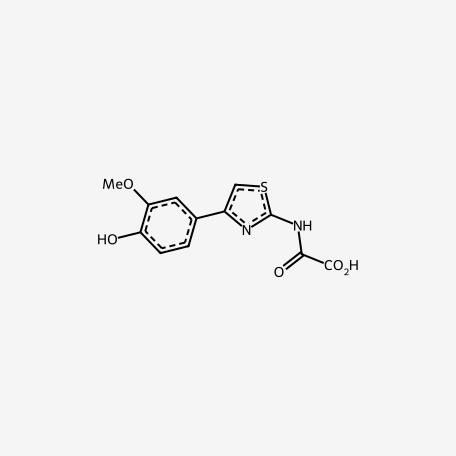 COc1cc(-c2csc(NC(=O)C(=O)O)n2)ccc1O